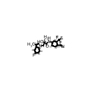 Cc1cn(C[C@](C)(O)C(=O)Nc2ccc(C#N)c(C(F)(F)F)c2)c2ccc(F)cc12